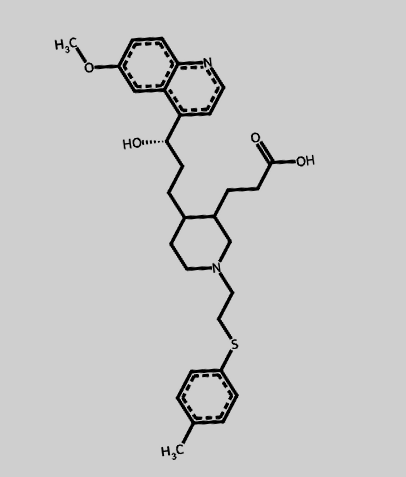 COc1ccc2nccc([C@@H](O)CCC3CCN(CCSc4ccc(C)cc4)CC3CCC(=O)O)c2c1